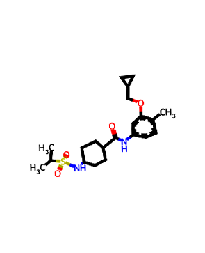 Cc1ccc(NC(=O)C2CCC(NS(=O)(=O)C(C)C)CC2)cc1OCC1CC1